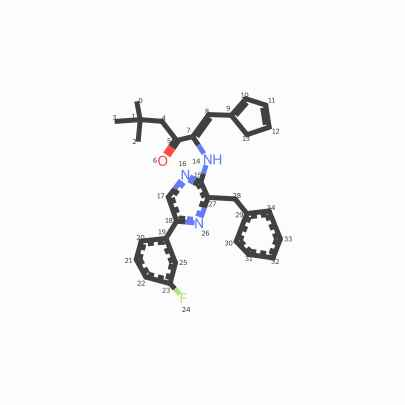 CC(C)(C)CC(=O)/C(=C/C1=CC=CC1)Nc1ncc(-c2cccc(F)c2)nc1Cc1ccccc1